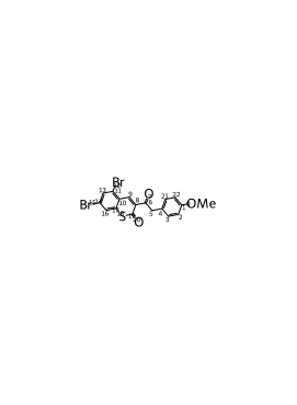 COc1ccc(CC(=O)c2cc3c(Br)cc(Br)cc3sc2=O)cc1